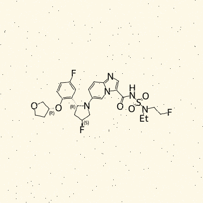 CCN(CCF)S(=O)(=O)NC(=O)c1cnc2ccc(N3C[C@@H](F)C[C@@H]3c3cc(F)ccc3O[C@@H]3CCOC3)cn12